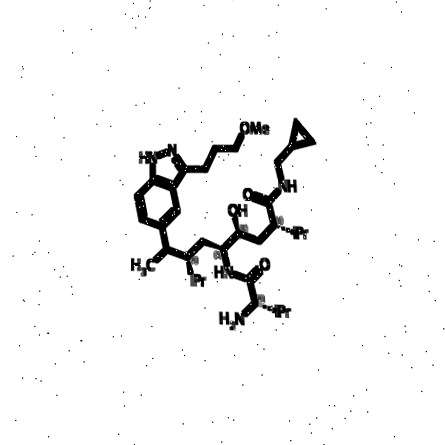 COCCCc1n[nH]c2ccc(C(C)[C@@H](C[C@H](NC(=O)[C@@H](N)C(C)C)[C@@H](O)C[C@H](C(=O)NCC3CC3)C(C)C)C(C)C)cc12